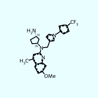 COc1ccc2c(C)cc(N(Cc3ccn(-c4ccc(C(F)(F)F)cc4)c3)[C@H]3CC[C@H](N)C3)nc2c1